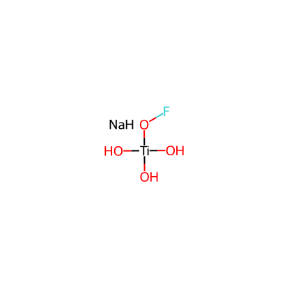 [NaH].[OH][Ti]([OH])([OH])[O]F